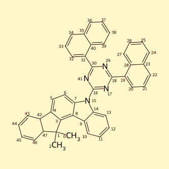 CC1(C)c2c(ccc3c2c2ccccc2n3-c2nc(-c3cccc4ccccc34)nc(-c3cccc4ccccc34)n2)C2C=CC=CC21